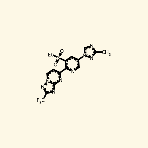 CCS(=O)(=O)c1cc(-n2cnc(C)n2)cnc1-c1ccn2nc(C(F)(F)F)nc2n1